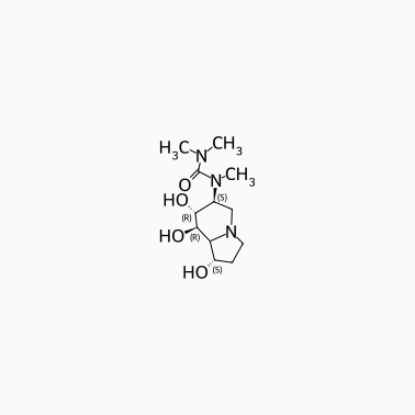 CN(C)C(=O)N(C)[C@H]1CN2CC[C@H](O)C2[C@@H](O)[C@@H]1O